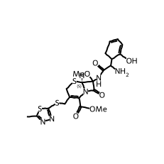 COC(=O)C1=C(CSc2nnc(C)s2)CS[C@@H]2N1C(=O)C2(NC(=O)C(N)C1CC=CC=C1O)OC